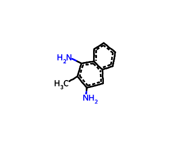 Cc1c(N)cc2ccccc2c1N